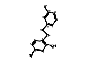 Oc1cc(Br)ccc1OCc1cccc(F)c1